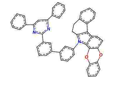 c1ccc(-c2cc(-c3ccccc3)nc(-c3cccc(-c4cccc(-n5c6c(c7ccc8c(c75)Oc5ccccc5O8)-c5ccccc5CC6)c4)c3)n2)cc1